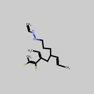 C=CNNCCCC(/C=C/C)CC(=C/C)/C(F)=C(\C)F